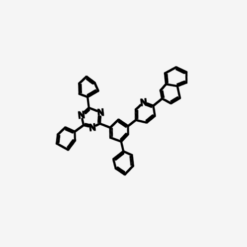 c1ccc(-c2cc(-c3ccc(-c4ccc5ccccc5c4)nc3)cc(-c3nc(-c4ccccc4)nc(-c4ccccc4)n3)c2)cc1